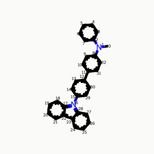 CN(c1ccccc1)c1ccc(-c2ccc(-n3c4ccccc4c4ccccc43)cc2)cc1